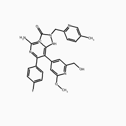 COc1cc(-c2c(-c3ccc(F)cc3)nc(N)[n+]3c(=O)n(Cc4ccc(C)cn4)[nH]c23)cc(CO)n1